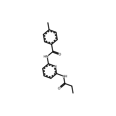 CCC(=O)Nc1cccc(NC(=O)c2ccc(C)cc2)n1